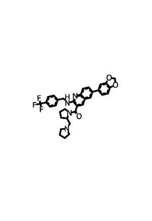 O=C(c1cc2cc(-c3ccc4c(c3)OCO4)ccc2nc1NCc1ccc(C(F)(F)F)cc1)N1CCCC1CN1CCCC1